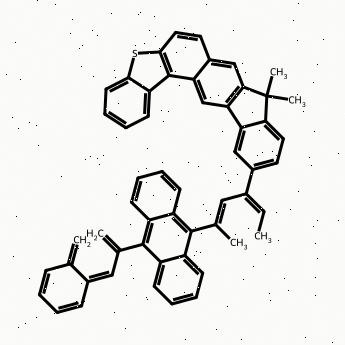 C=C(/C=c1/ccccc1=C)c1c2ccccc2c(/C(C)=C/C(=C\C)c2ccc3c(c2)-c2cc4c(ccc5sc6ccccc6c54)cc2C3(C)C)c2ccccc12